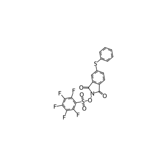 O=C1c2ccc(Sc3ccccc3)cc2C(=O)N1OS(=O)(=O)c1c(F)c(F)c(F)c(F)c1F